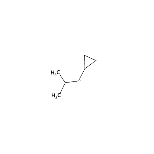 CC(C)[CH]C1CC1